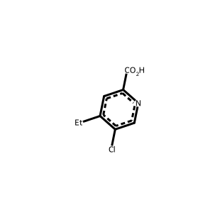 CCc1cc(C(=O)O)ncc1Cl